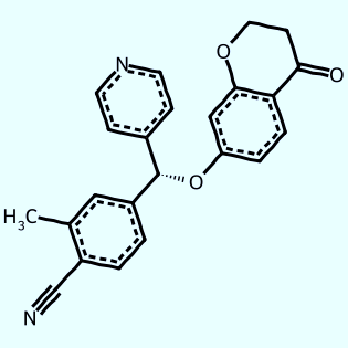 Cc1cc([C@@H](Oc2ccc3c(c2)OCCC3=O)c2ccncc2)ccc1C#N